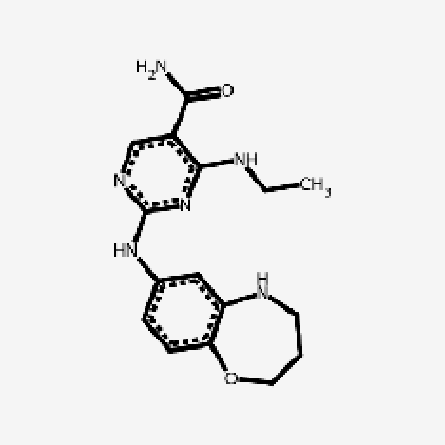 CCNc1nc(Nc2ccc3c(c2)NCCCO3)ncc1C(N)=O